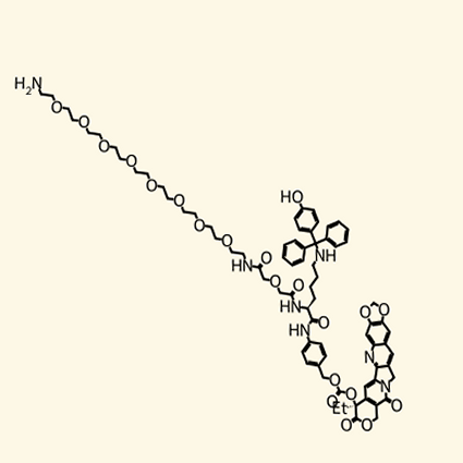 CC[C@@]1(OC(=O)OCc2ccc(NC(=O)[C@H](CCCCNC(c3ccccc3)(c3ccccc3)c3ccc(O)cc3)NC(=O)COCC(=O)NCCOCCOCCOCCOCCOCCOCCOCCOCCN)cc2)C(=O)OCc2c1cc1n(c2=O)Cc2cc3cc4c(cc3nc2-1)OCO4